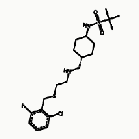 CC(C)(C)S(=O)(=O)N[C@H]1CC[C@H](CNCCSCc2c(F)cccc2Cl)CC1